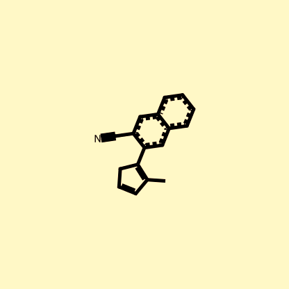 CC1=C(c2cc3ccccc3cc2C#N)CC=C1